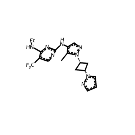 CCNc1nc(Nc2cnn([C@H]3C[C@@H](n4cccn4)C3)c2C)ncc1C(F)(F)F